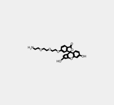 NCCOCCOCCOc1ccc2c(c1)C1(OC2=O)c2ccc(O)cc2Oc2cc(O)ccc21